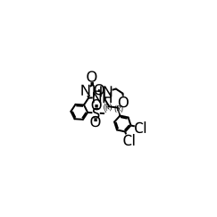 O=c1nc(-c2ccccc2S(=O)(=O)C[C@@H]2CNCCO[C@H]2c2ccc(Cl)c(Cl)c2)[nH]o1